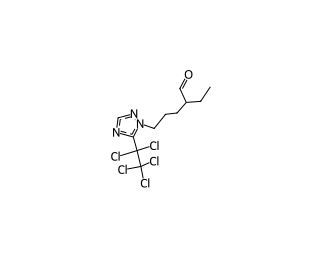 CCC(C=O)CCCn1ncnc1C(Cl)(Cl)C(Cl)(Cl)Cl